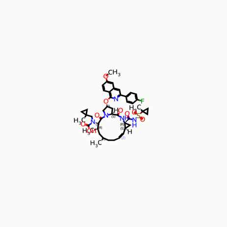 COc1ccc2c(O[C@@H]3C[C@H]4C(=O)N[C@]5(C(=O)NS(=O)(=O)C6(C)CC6)C[C@H]5/C=C\CC[C@@H](C)C[C@@H](C)[C@H](N(CC5(C)CC5)C(=O)O)C(=O)N4C3)nc(-c3ccc(F)cc3)cc2c1